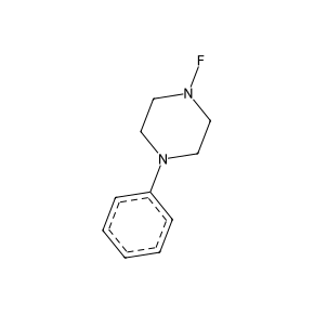 FN1CCN(c2ccccc2)CC1